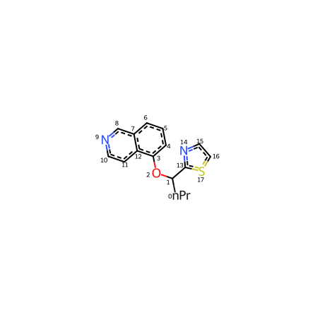 CCCC(Oc1cccc2cnccc12)c1nccs1